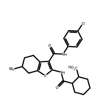 CC(C)(C)C1CCc2c(sc(NC(=O)C3CCCCC3C(=O)O)c2C(=O)Nc2ccc(Cl)cc2)C1